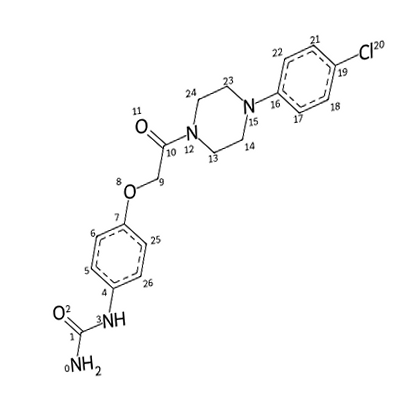 NC(=O)Nc1ccc(OCC(=O)N2CCN(c3ccc(Cl)cc3)CC2)cc1